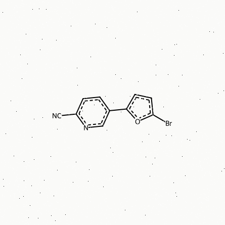 N#Cc1ccc(-c2ccc(Br)o2)cn1